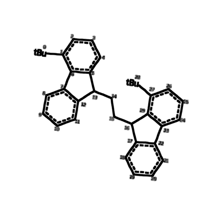 CC(C)(C)c1cccc2c1-c1ccccc1C2CCC1c2ccccc2-c2cccc(C(C)(C)C)c21